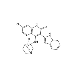 O=c1[nH]c2cc(Cl)ccc2c(N[C@H]2CN3CCC2CC3)c1-c1nc2ccccc2[nH]1